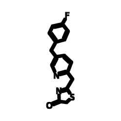 O=C1CSC(Cc2ccc(Cc3ccc(F)cc3)cn2)=N1